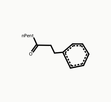 [CH2]CCCCC(=O)CCc1ccccc1